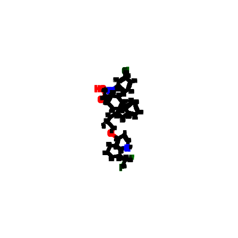 C[C@@H](COc1ccnc2c1CCCC2C(F)F)CC1Cc2ccccc2C12CCC(Nc1cccc(Cl)c1)(C(=O)O)CC2